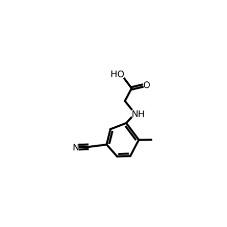 Cc1ccc(C#N)cc1NCC(=O)O